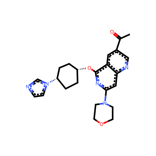 CC(=O)c1cnc2cc(N3CCOCC3)nc(O[C@H]3CC[C@@H](n4ccnc4)CC3)c2c1